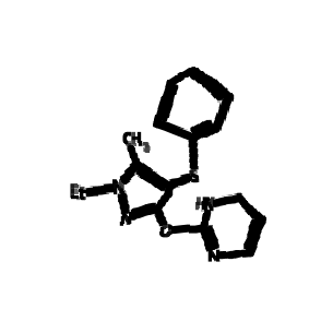 CCn1nc(OC2=NC=CCN2)c(Sc2ccccc2)c1C